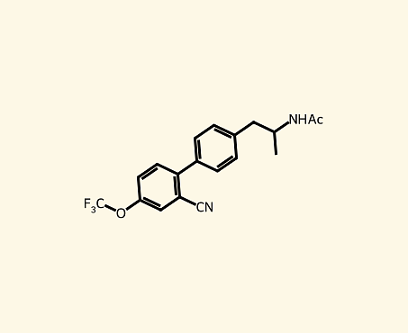 CC(=O)NC(C)Cc1ccc(-c2ccc(OC(F)(F)F)cc2C#N)cc1